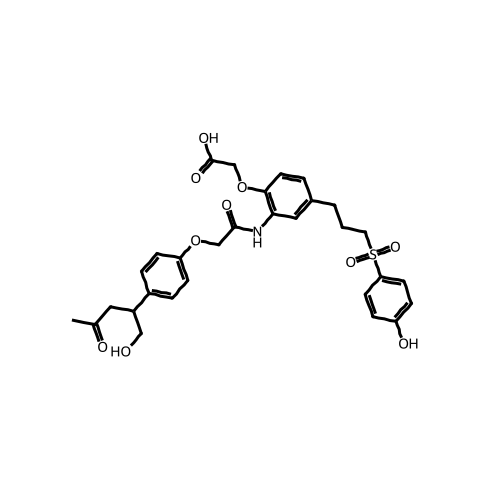 CC(=O)CC(CO)c1ccc(OCC(=O)Nc2cc(CCCS(=O)(=O)c3ccc(O)cc3)ccc2OCC(=O)O)cc1